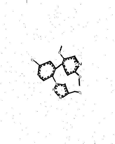 COc1cc(-c2cc(Cl)ccc2-n2cc(Cl)nn2)c(OC)cn1